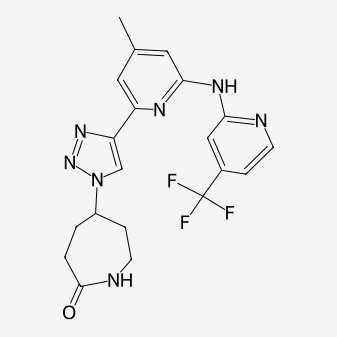 Cc1cc(Nc2cc(C(F)(F)F)ccn2)nc(-c2cn(C3CCNC(=O)CC3)nn2)c1